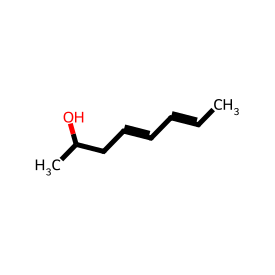 CC=CC=CCC(C)O